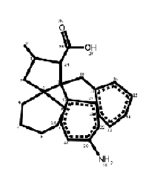 CC1CC2(CCCCC2)C(Cc2ccccc2)(c2ccc(N)cc2)C1C(=O)O